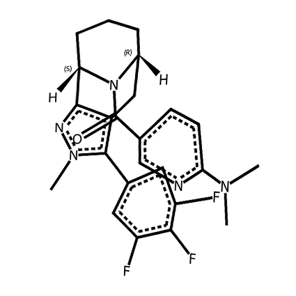 CN(C)c1ccc(C(=O)N2[C@@H]3CCC[C@H]2c2nn(C)c(-c4cc(F)c(F)c(F)c4)c2C3)cn1